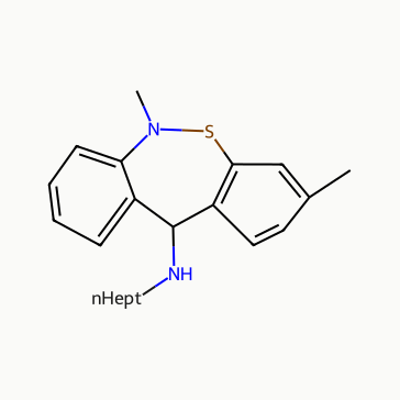 CCCCCCCNC1c2ccc(C)cc2SN(C)c2ccccc21